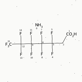 N.O=C(O)CC(F)(F)C(F)(F)C(F)(F)C(F)(F)C(F)(F)F